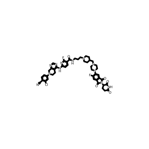 N#Cc1ccc(N2CCc3c(ncnc3Nc3ccc(C(=O)NCCCN4CCC(CN5CCN(c6cc7c(cc6F)C(=O)N(C6CCC(=O)NC6=O)C7=O)CC5)CC4)c(F)n3)C2)cc1Cl